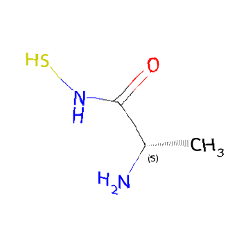 C[C@H](N)C(=O)NS